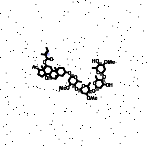 C/C=C(\C)C(=O)OC1CC2C(CC=C3CC(O[C@H]4CC(OC)[C@H](O[C@H]5CC(OC)[C@H](O[C@H]6CC(O)[C@H](O[C@H]7CC(OC)[C@H](O)C(C)O7)C(C)O6)C(C)O5)C(C)O4)CCC32C)C2(O)CCC(C(C)=O)C12C